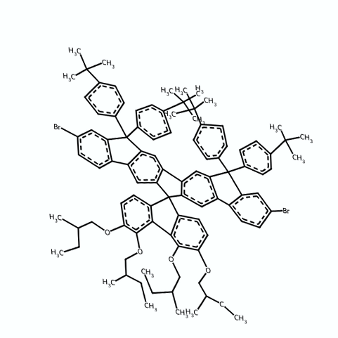 CCC(C)COc1ccc2c(c1OCC(C)CC)-c1c(ccc(OCC(C)CC)c1OCC(C)CC)C21c2cc3c(cc2-c2cc4c(cc21)-c1ccc(Br)cc1C4(c1ccc(C(C)(C)C)cc1)c1ccc(C(C)(C)C)cc1)C(c1ccc(C(C)(C)C)cc1)(c1ccc(C(C)(C)C)cc1)c1cc(Br)ccc1-3